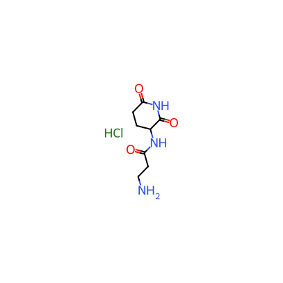 Cl.NCCC(=O)NC1CCC(=O)NC1=O